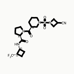 N#CC1CN(S(=O)(=O)N2CCC[C@H](C(=O)N3CCC[C@@H]3C(=O)N[C@@H]3CC[C@@H]3C(F)(F)F)C2)C1